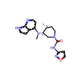 C[C@@H]1CCN(C(=O)Nc2ccon2)C[C@@H]1N(C)c1ccnc2[nH]ccc12